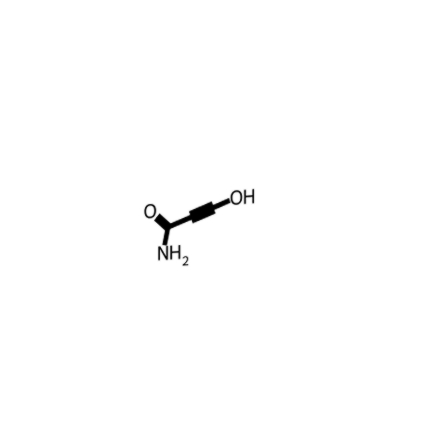 NC(=O)C#CO